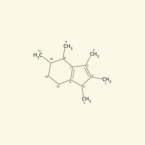 CC1=C(C)C(C)C2=C1C(C)C(C)CC2